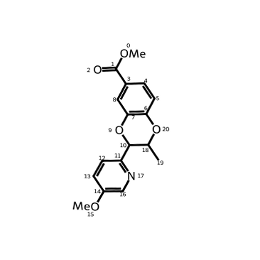 COC(=O)c1ccc2c(c1)OC(c1ccc(OC)cn1)C(C)O2